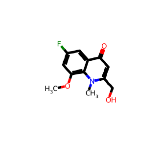 COc1cc(F)cc2c(=O)cc(CO)n(C)c12